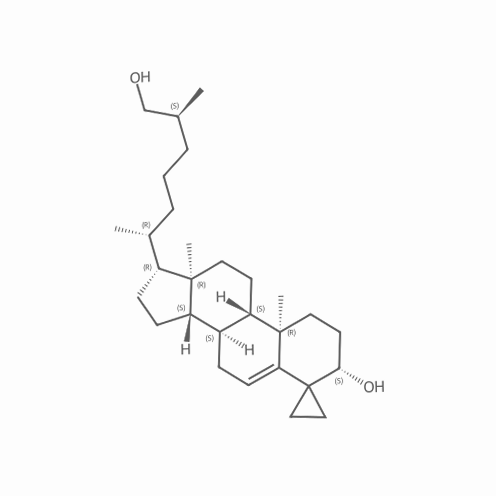 C[C@H](CO)CCC[C@@H](C)[C@H]1CC[C@H]2[C@@H]3CC=C4C5(CC5)[C@@H](O)CC[C@]4(C)[C@H]3CC[C@]12C